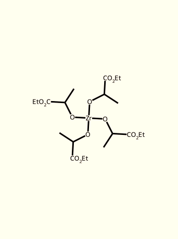 CCOC(=O)C(C)[O][Zr]([O]C(C)C(=O)OCC)([O]C(C)C(=O)OCC)[O]C(C)C(=O)OCC